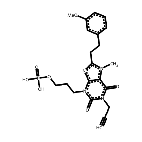 C#CCn1c(=O)c2c(nc(CCc3cccc(OC)c3)n2C)n(CCCOP(=O)(O)O)c1=O